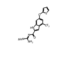 CNC(N)=NC(=O)c1cc2c(C(F)(F)F)cc(Oc3cccs3)cc2[nH]1